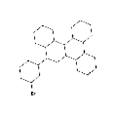 BrC1CCCC(C2CC3C4CCCCC4C4CCCCC4C3C3CCCCC23)C1